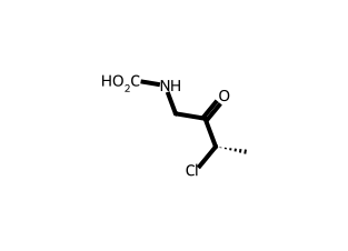 C[C@H](Cl)C(=O)CNC(=O)O